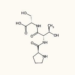 C[C@@H](O)[C@H](NC(=O)[C@@H]1CCCN1)C(=O)N[C@@H](CO)C(=O)O